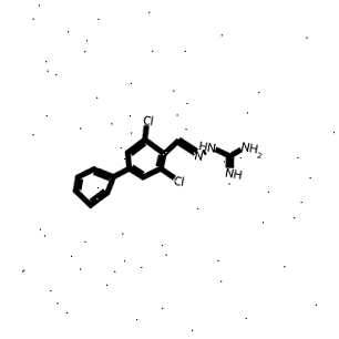 N=C(N)N/N=C/c1c(Cl)cc(-c2ccccc2)cc1Cl